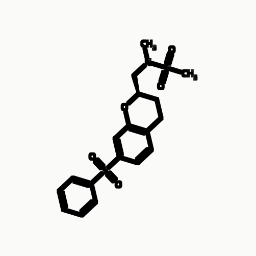 CN(C[C@H]1CCc2ccc(S(=O)(=O)c3ccccc3)cc2O1)S(C)(=O)=O